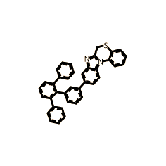 c1ccc(-c2cccc(-c3ccccc3)c2-c2cccc(-c3ccc4c(c3)nc3n4-c4ccccc4SC3)c2)cc1